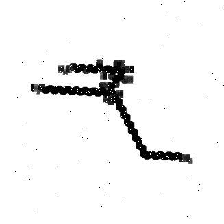 CCCCCCCC/C=C\CCCCCCCCCCCCCC(=O)N[C@@H](COC1OC(CNC(=O)CCOCCOC)C(O)C(O)C1O)[C@H](O)[C@H](O)CCCCCCCCCCCCCC